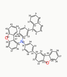 c1cc(-c2cccc3ccccc23)cc(N(c2ccc(-c3ccc4oc5ccccc5c4c3)cc2)c2cccc3oc4ccccc4c23)c1